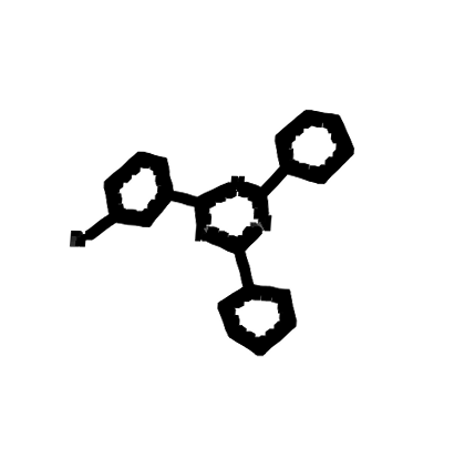 Brc1cccc(-c2nc(-c3ccccc3)nc(-c3ccccc3)n2)c1